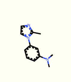 Cc1nccn1-c1cccc(N(C)C)c1